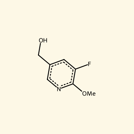 COc1ncc(CO)cc1F